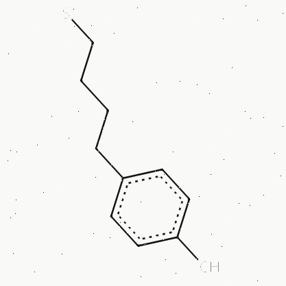 Cc1ccc(CCCC[S])cc1